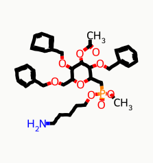 COP(=O)(CC1OC(COCc2ccccc2)C(OCc2ccccc2)C(OC(C)=O)C1OCc1ccccc1)OCCCCCN